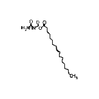 CCCCCCCCC=CCCCCCCCC(=O)OC(=O)NC(N)=O